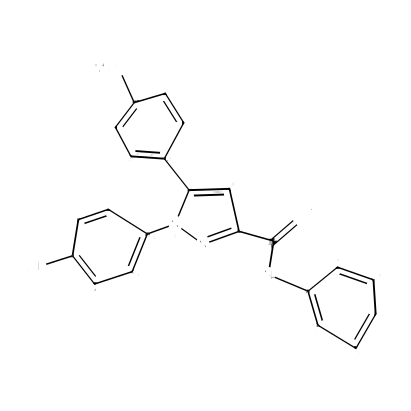 CSc1ccc(-c2cc(C(=O)Nc3ccccc3)nn2-c2ccc(F)cc2)cc1